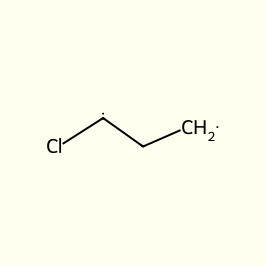 [CH2]C[CH]Cl